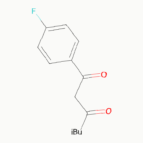 CCC(C)C(=O)CC(=O)c1ccc(F)cc1